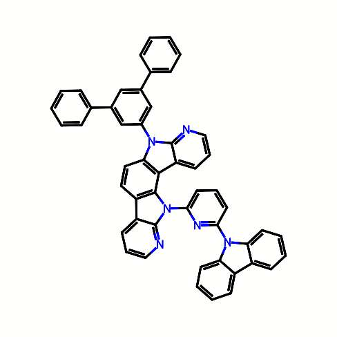 c1ccc(-c2cc(-c3ccccc3)cc(-n3c4ccc5c6cccnc6n(-c6cccc(-n7c8ccccc8c8ccccc87)n6)c5c4c4cccnc43)c2)cc1